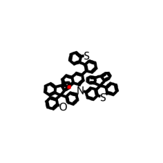 c1ccc2c(c1)Oc1ccc(N(c3ccc4c(c3)C3(c5ccccc5S4)c4ccccc4-c4ccccc43)c3cc(-c4cccc5sc6ccccc6c45)cc4ccccc34)cc1C21c2ccccc2-c2ccccc21